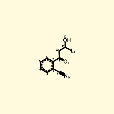 N#Cc1ccccc1C(=O)CC(O)I